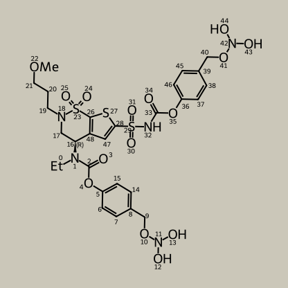 CCN(C(=O)Oc1ccc(CON(O)O)cc1)[C@H]1CN(CCCOC)S(=O)(=O)c2sc(S(=O)(=O)NC(=O)Oc3ccc(CON(O)O)cc3)cc21